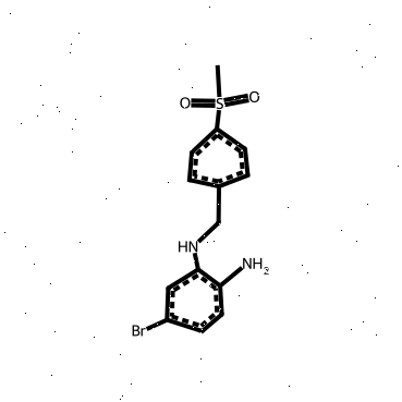 CS(=O)(=O)c1ccc(CNc2cc(Br)ccc2N)cc1